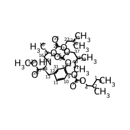 CCC(C)COC(=O)Oc1ccc(C[C@H](NCC(C)OC(=O)OCC(C)C)C(=O)OC)cc1OC(=O)OCC(C)CC